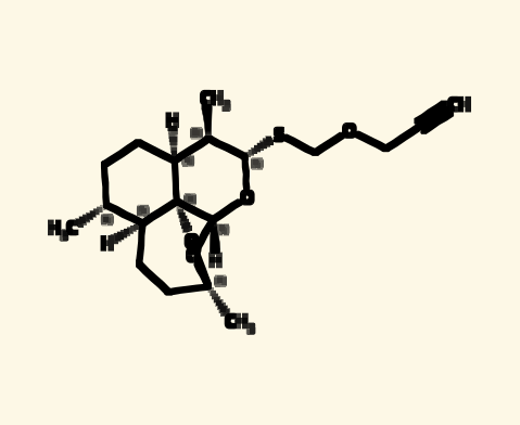 C#CCOCS[C@@H]1O[C@@H]2O[C@]3(C)CC[C@H]4[C@H](C)CC[C@@H]([C@H]1C)[C@@]24OO3